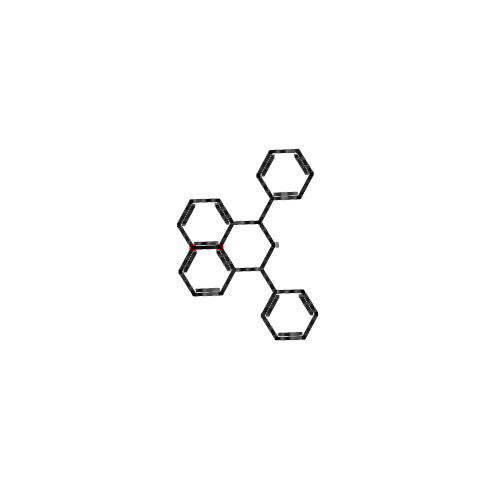 [C](C(c1ccccc1)c1ccccc1)C(c1ccccc1)c1ccccc1